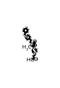 CC1C(N2CCN(CCC(=O)O)CC2)OC(=O)N1CCC1CCN(Cc2ccccc2)CC1